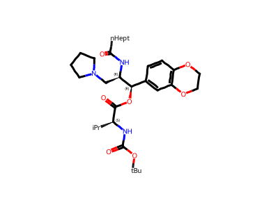 CCCCCCCC(=O)N[C@H](CN1CCCC1)[C@H](OC(=O)[C@@H](NC(=O)OC(C)(C)C)C(C)C)c1ccc2c(c1)OCCO2